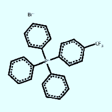 FC(F)(F)c1ccc([P+](c2ccccc2)(c2ccccc2)c2ccccc2)cc1.[Br-]